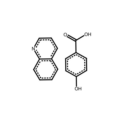 O=C(O)c1ccc(O)cc1.c1ccc2ncccc2c1